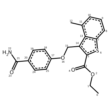 CCOC(=O)c1sc2cccc(C)c2c1COc1ccc(C(N)=O)cc1